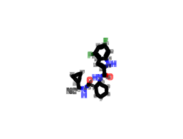 N#C[C@@H](NC(=O)[C@@H]1CCCCC1NC(=O)c1cc2c(F)cc(F)cc2[nH]1)C1CC1